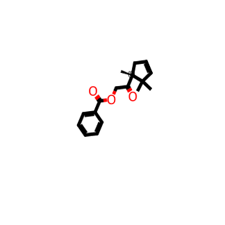 CC1(C)C=CC[C@@]1(C)C(=O)COC(=O)c1ccccc1